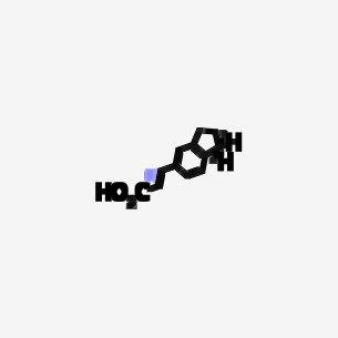 [2H]C1([2H])CCc2cc(/C=C/C(=O)O)ccc21